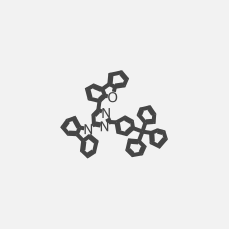 c1ccc(C(c2ccccc2)(c2ccccc2)c2ccc(-c3nc(-c4cccc5c4oc4ccccc45)cc(-n4c5ccccc5c5ccccc54)n3)cc2)cc1